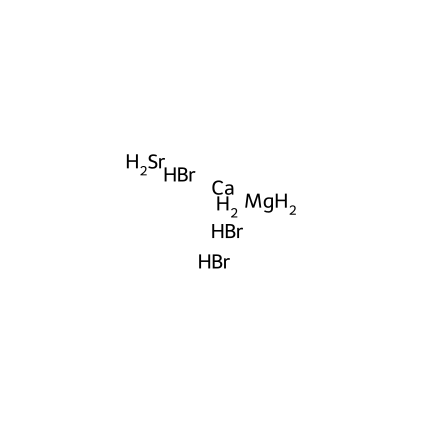 Br.Br.Br.[CaH2].[MgH2].[SrH2]